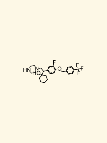 OC1(C(CN2CCNCC2)c2ccc(OCc3ccc(C(F)(F)F)cc3)c(F)c2)CCCCC1